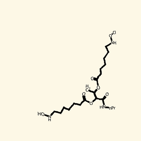 CCCNC(=O)C(OC(=O)CCCCCCNO)C(C)OC(=O)CCCCCCNOCl